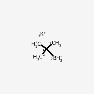 [BH3-]C(C)(C)C.[K+]